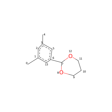 Cc1cc(C)cc(C2OCCCO2)c1